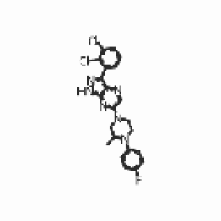 CC1CN(c2cnc3c(-c4cccc(Cl)c4Cl)n[nH]c3n2)CCN1c1ccc(F)cc1